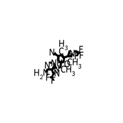 COc1c(C(C)n2nc(C(F)F)c3c2NCN=C3N)cc(C#N)c(C)c1C1CN(CC(F)(F)F)C1